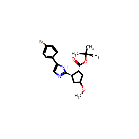 COC1C[C@@H](C(=O)OC(C)(C)C)[C@H](c2ncc(-c3ccc(Br)cc3)[nH]2)C1